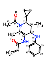 C=CC(=O)NC1=C(C)N(C(C)=O)C(C2CC2)[C@H](C)C1Nc1ccccc1